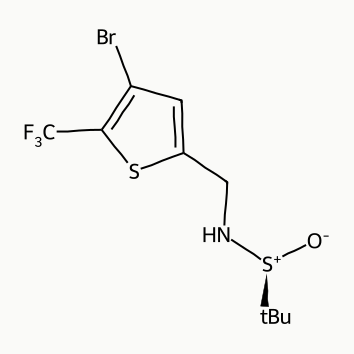 CC(C)(C)[S@+]([O-])NCc1cc(Br)c(C(F)(F)F)s1